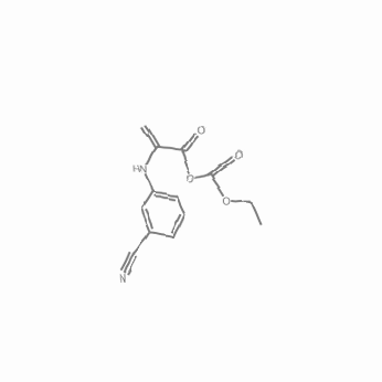 C=C(Nc1cccc(C#N)c1)C(=O)OC(=O)OCC